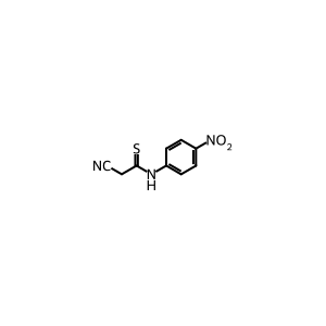 N#CCC(=S)Nc1ccc([N+](=O)[O-])cc1